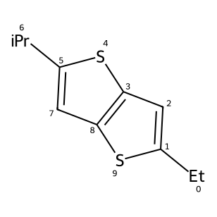 CCc1cc2sc(C(C)C)cc2s1